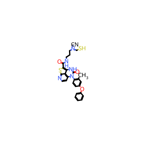 Cc1cc(Oc2ccccc2)ccc1N1C(=O)Nc2c(C(=O)NCCCN(C#N)CS)sc3nccc1c23